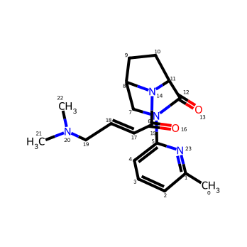 Cc1cccc(N2CC3CCC(C2=O)N3C(=O)/C=C/CN(C)C)n1